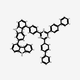 C1=CC(c2nc(-c3ccc(-c4ccccc4)cc3)nc(-c3ccc(-c4cccc5oc6cc(-c7cccc8sc9ccccc9c78)ccc6c45)cc3)n2)CC=C1c1ccccc1